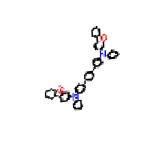 C1=CC2Oc3cc(N(c4ccccc4)c4ccc(-c5ccc(-c6ccc(N(C7=CC8Oc9ccccc9C8C=C7)c7ccccc7)cc6)cc5)cc4)ccc3C2C=C1